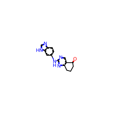 O=C1CCCc2nc(Nc3ccc4nc[nH]c4c3)ncc21